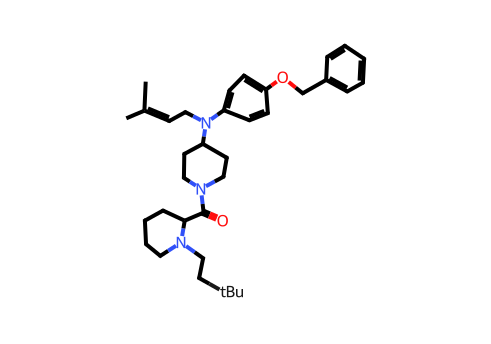 CC(C)=CCN(c1ccc(OCc2ccccc2)cc1)C1CCN(C(=O)C2CCCCN2CCC(C)(C)C)CC1